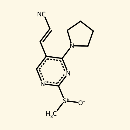 C[S+]([O-])c1ncc(C=CC#N)c(N2CCCC2)n1